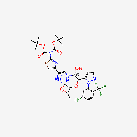 CC1OCC1OC(c1ccnn1-c1cc(Cl)ccc1C(F)(F)F)[C@@H](O)N/C=C(\N)c1csc(N(C(=O)OC(C)(C)C)C(=O)OC(C)(C)C)n1